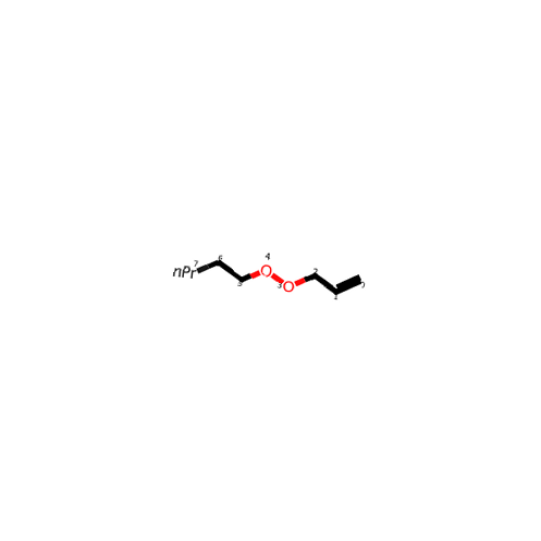 C=CCOOCCCCC